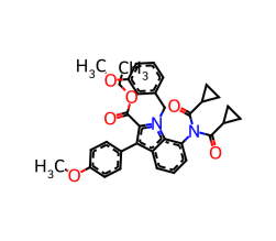 CCOC(=O)c1c(-c2ccc(OC)cc2)c2cccc(N(C(=O)C3CC3)C(=O)C3CC3)c2n1Cc1cccc(OC)c1